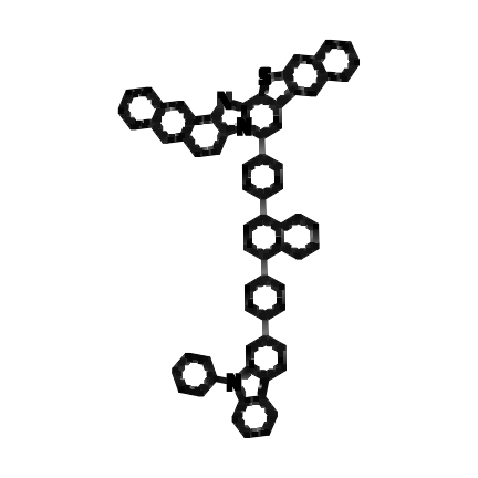 c1ccc(-n2c3ccccc3c3ccc(-c4ccc(-c5ccc(-c6ccc(-c7cc8c9cc%10ccccc%10cc9sc8c8nc9c%10cc%11ccccc%11cc%10ccc9n78)cc6)c6ccccc56)cc4)cc32)cc1